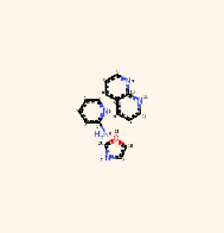 Nc1ccccn1.c1cnc2ncccc2c1.c1cocn1